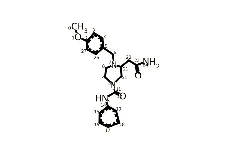 COc1ccc(CN2CCN(C(=O)Nc3ccccc3)CC2CC(N)=O)cc1